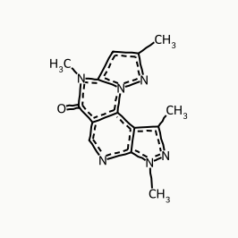 Cc1cc2n(C)c(=O)c3cnc4c(c(C)nn4C)c3n2n1